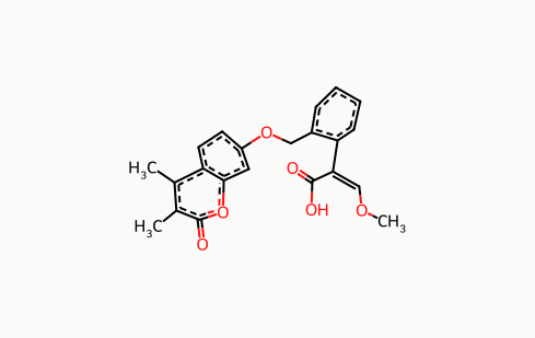 COC=C(C(=O)O)c1ccccc1COc1ccc2c(C)c(C)c(=O)oc2c1